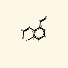 C=Cc1cccc(I)c1/C=C\C